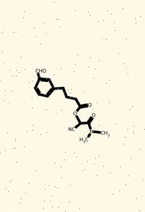 CN(C)C(=O)C(C#N)OC(=O)CCCc1cccc(C=O)c1